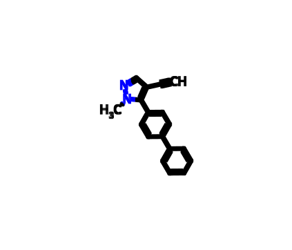 C#Cc1cnn(C)c1-c1ccc(-c2ccccc2)cc1